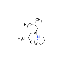 CC(C)[CH2][Al]([CH2]C(C)C)[N]1CCCC1